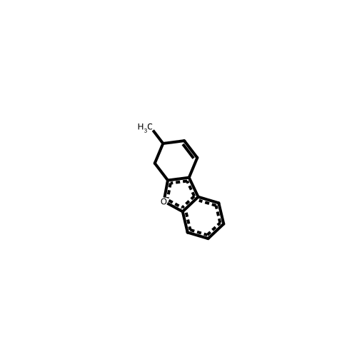 CC1C=Cc2c(oc3ccccc23)C1